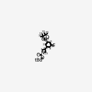 CC(C)(C)OC(=O)N1CC(c2cc(F)cc(B3OC(C)(C)C(C)(C)O3)c2)C1